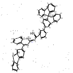 N=C(/N=c1/nc(-c2ccc3c(c2)oc2ccccc23)c2ccccc2[nH]1)c1cccc(-c2ccc3c(c2)-c2ccccc2C32c3ccccc3-c3ccccc32)c1